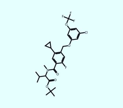 CC(C)C(C(=O)OC(C)(C)C)N(C)C(=O)c1cc(C2CC2)c(COc2cc(Cl)cc(OC(F)(F)F)c2)cc1F